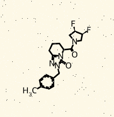 Cc1ccc(Cn2nc3n(c2=O)C(C(=O)N2C[C@@H](F)[C@@H](F)C2)CCC3)cc1